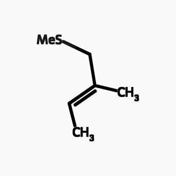 CC=C(C)CSC